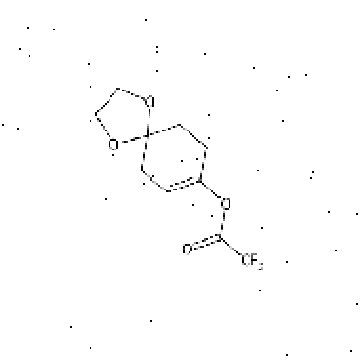 O=C(OC1=CCC2(CC1)OCCO2)C(F)(F)F